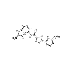 CNc1nccc(-c2ccc(C(=O)Oc3cccc4sc(N)nc34)s2)n1